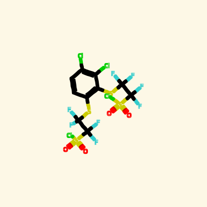 O=S(=O)(Cl)C(F)(F)C(F)(F)Sc1ccc(Cl)c(Cl)c1SC(F)(F)C(F)(F)S(=O)(=O)Cl